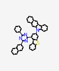 c1ccc(-c2nc(-c3ccc4ccccc4c3)nc(-c3cc(-n4c5ccccc5c5cc6ccccc6cc54)cc4sc5ccccc5c34)n2)cc1